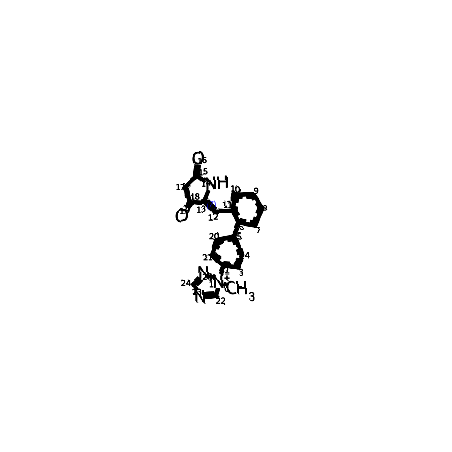 C[N+]1(c2ccc(-c3ccccc3/C=C3\NC(=O)CC3=O)cc2)C=NC=N1